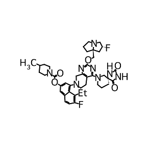 CCc1c(F)ccc2cc(OC(=O)N3CCC(C)CC3)cc(N3CCc4c(nc(OC[C@@]56CCCN5C[C@H](F)C6)nc4N4CCC[C@]5(C4)NC(=O)NC5=O)C3)c12